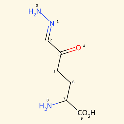 NN=CC(=O)CCC(N)C(=O)O